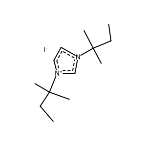 CCC(C)(C)n1cc[n+](C(C)(C)CC)c1.[I-]